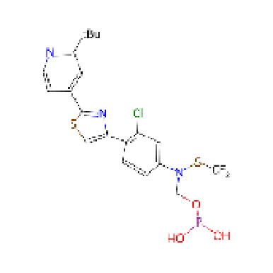 CC(C)(C)c1cc(-c2nc(-c3ccc(N(COP(O)O)SC(F)(F)F)cc3Cl)cs2)ccn1